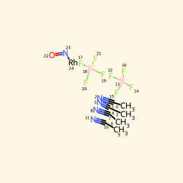 CC#N.CC#N.CC#N.CC#N.F[B-](F)(F)F.F[B-](F)(F)F.O=[N][Rh]